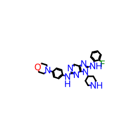 Fc1ccccc1Nc1nc2cnc(Nc3ccc(N4CCOCC4)cc3)nc2n1C1CCNCC1